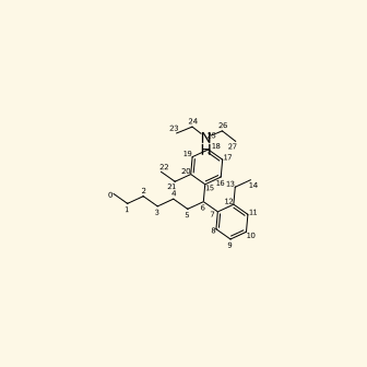 CCCCCCC(c1ccccc1CC)c1ccccc1CC.CCNCC